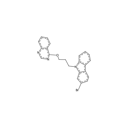 Brc1ccc2c3ccccc3n(CCCOc3ncnc4ccccc34)c2c1